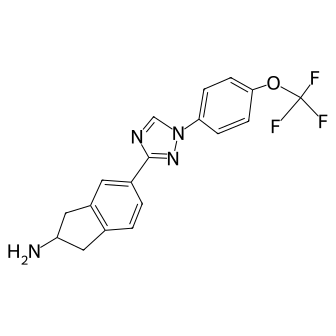 NC1Cc2ccc(-c3ncn(-c4ccc(OC(F)(F)F)cc4)n3)cc2C1